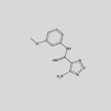 COc1cccc(NC(=N)c2nonc2N)c1